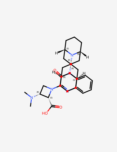 CN(C)[C@@H]1CN(c2nc3ccccc3n([C@H]3C[C@H]4CCC[C@@H](C3)N4[C@H]3C[C@@H]4CCC[C@@H](C4)C3)c2=O)[C@@H]1C(=O)O